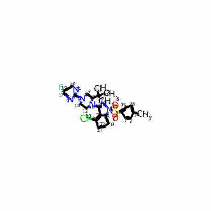 Cc1ccc(S(=O)(=O)n2nc(N3CCN(c4ncc(F)cn4)CC3C(C)(C)C)c3c(Cl)cccc32)cc1